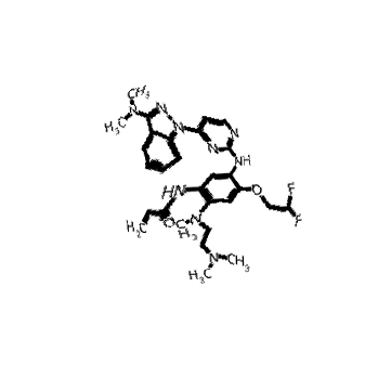 C=CC(=O)Nc1cc(Nc2nccc(-n3nc(N(C)C)c4ccccc43)n2)c(OCC(F)F)cc1N(C)CCN(C)C